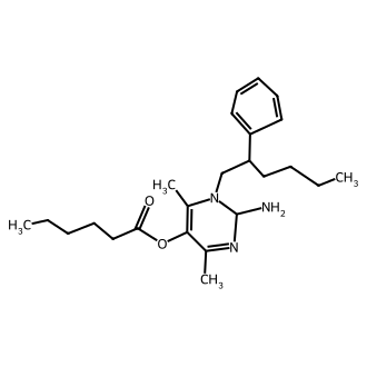 CCCCCC(=O)OC1=C(C)N(CC(CCCC)c2ccccc2)C(N)N=C1C